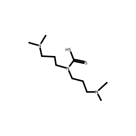 CN(C)CCCN(CCCN(C)C)C(=S)S